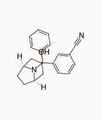 N#Cc1cccc([C@@]2(O)C[C@H]3CC[C@@H](C2)N3Cc2ccccc2)c1